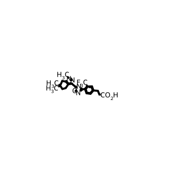 Cn1nc(-c2nc(-c3ccc(CCC(=O)O)cc3C(F)(F)F)no2)c2c1CC(C)(C)CC2